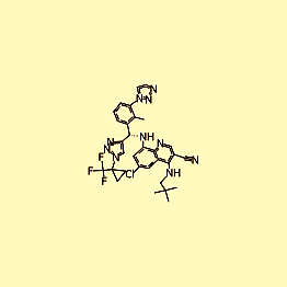 Cc1c([C@H](Nc2cc(Cl)cc3c(NCC(C)(C)C)c(C#N)cnc23)c2cn(C3(C(F)(F)F)CC3)nn2)cccc1-n1ccnn1